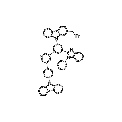 CC(C)Cc1ccc2c3ccccc3n(-c3cc(-c4cncc(-c5ccc(-n6c7ccccc7c7ccccc76)cc5)c4)cc(-c4nc5ccccc5n4-c4ccccc4)c3)c2c1